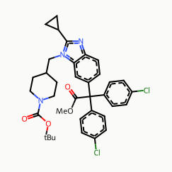 COC(=O)C(c1ccc(Cl)cc1)(c1ccc(Cl)cc1)c1ccc2nc(C3CC3)n(CC3CCN(C(=O)OC(C)(C)C)CC3)c2c1